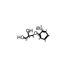 CCC(C)c1ccccc1OCC(O)[CH]O